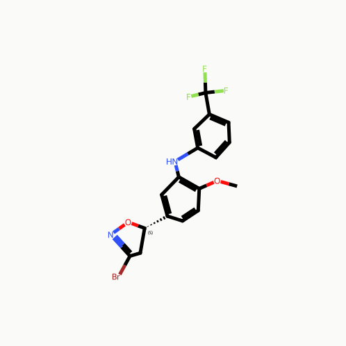 COc1ccc([C@@H]2CC(Br)=NO2)cc1Nc1cccc(C(F)(F)F)c1